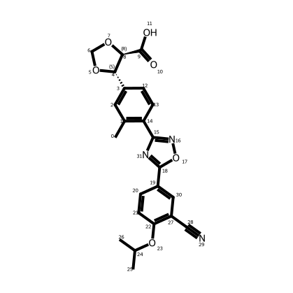 Cc1cc([C@@H]2OCO[C@H]2C(=O)O)ccc1-c1noc(-c2ccc(OC(C)C)c(C#N)c2)n1